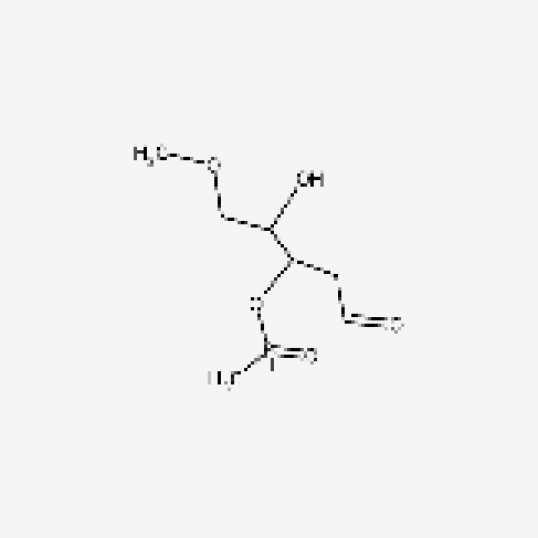 COCC(O)C(CC=O)O[PH](C)=O